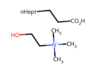 CCCCCCCCCC(=O)O.C[N+](C)(C)CCO